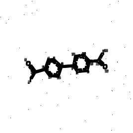 O=C(I)c1ccc(-c2ccc(C(=O)I)cc2)cc1